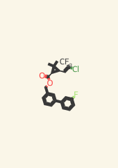 CC1(C)[C@H](C(=O)OCc2cccc(-c3cccc(F)c3)c2)[C@@H]1/C=C(/Cl)C(F)(F)F